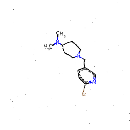 CN(C)C1CCN(Cc2ccc(Br)nc2)CC1